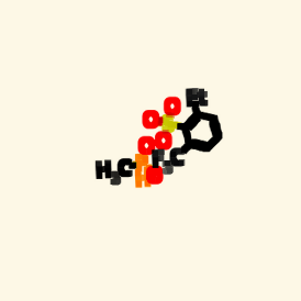 CCc1cccc(C(F)(F)F)c1S(=O)(=O)OO[PH](C)=O